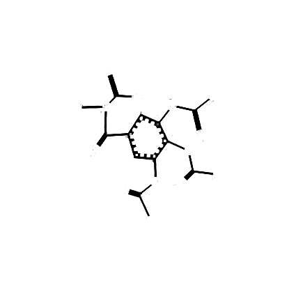 CC(=O)Oc1cc(C(=O)N(C)C(=O)Cl)cc(OC(C)=O)c1OC(C)=O